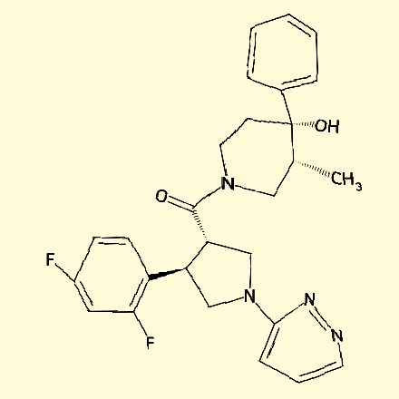 C[C@@H]1CN(C(=O)[C@@H]2CN(c3cccnn3)C[C@H]2c2ccc(F)cc2F)CC[C@@]1(O)c1ccccc1